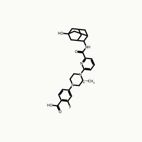 C[C@@H]1CN(c2ccc(C(=O)O)c(F)c2)CCN1c1cccc(C(=O)NC2C3CC4CC2CC(O)(C4)C3)n1